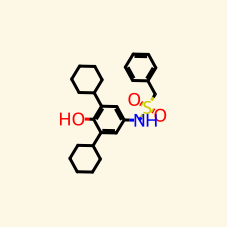 O=S(=O)(Cc1ccccc1)Nc1cc(C2CCCCC2)c(O)c(C2CCCCC2)c1